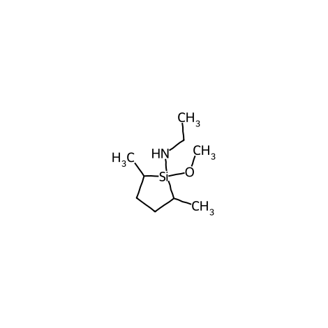 CCN[Si]1(OC)C(C)CCC1C